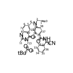 C#CCN(Cc1ccc2nc(C)n(COC(=O)C(C)(C)C)c(=O)c2c1)c1ccc(C(=O)NC(C#N)c2ccccc2)cc1